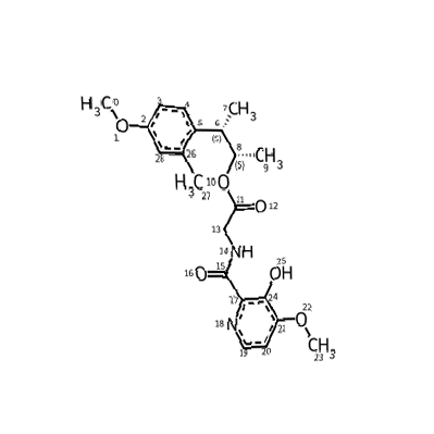 COc1ccc([C@H](C)[C@H](C)OC(=O)CNC(=O)c2nccc(OC)c2O)c(C)c1